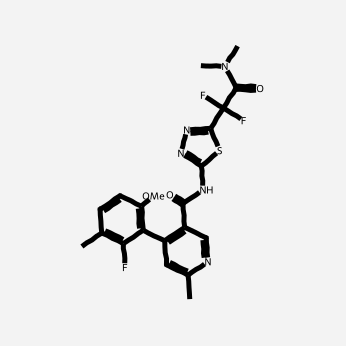 COc1ccc(C)c(F)c1-c1cc(C)ncc1C(=O)Nc1nnc(C(F)(F)C(=O)N(C)C)s1